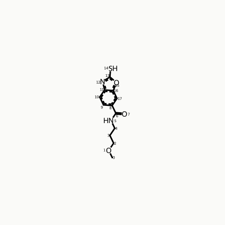 COCCCNC(=O)c1ccc2nc(S)oc2c1